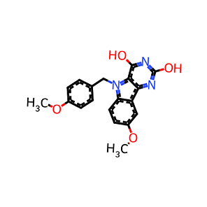 COc1ccc(Cn2c3ccc(OC)cc3c3nc(O)nc(O)c32)cc1